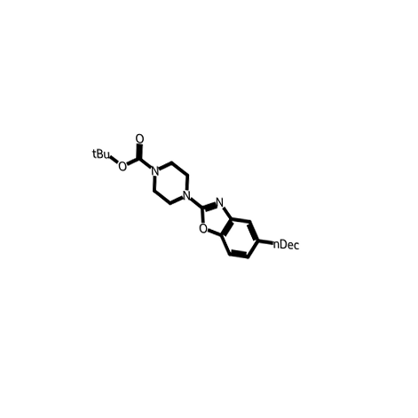 CCCCCCCCCCc1ccc2oc(N3CCN(C(=O)OC(C)(C)C)CC3)nc2c1